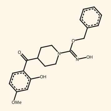 COc1ccc(C(=O)C2CCN(C(=NO)OCc3ccccc3)CC2)c(O)c1